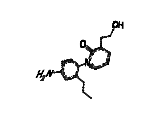 CCCc1cc(N)ccc1-n1cccc(CCO)c1=O